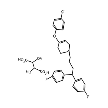 Fc1ccc(C(CCCN2CC=C(Oc3ccc(Cl)cc3)CC2)c2ccc(F)cc2)cc1.O=C(O)C(O)C(O)C(=O)O